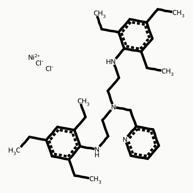 CCc1cc(CC)c(NCCN(CCNc2c(CC)cc(CC)cc2CC)Cc2ccccn2)c(CC)c1.[Cl-].[Cl-].[Ni+2]